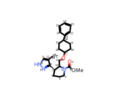 COC(=O)N1CCC[C@@H](c2n[nH]cc2C(C)C)C1COC1CCC(c2ccccc2)CC1